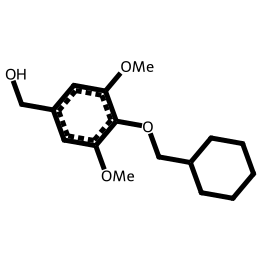 COc1cc(CO)cc(OC)c1OCC1CCCCC1